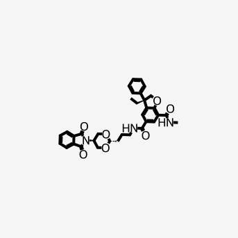 CC[C@@]1(c2ccccc2)COc2c(C(=O)NC)cc(C(=O)NCCC[C@H]3OC[C@H](N4C(=O)c5ccccc5C4=O)CO3)cc21